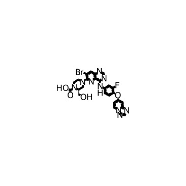 O=C(O)N1CCN(c2nc3c(Nc4ccc(Oc5ccn6ncnc6c5)c(F)c4)ncnc3cc2Br)C[C@H]1CO